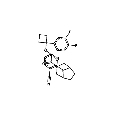 N#Cc1cccnc1N1C2CCC1CN(C(=O)COC1(c3ccc(F)c(F)c3)CCC1)C2